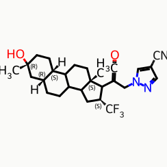 C[C@@]1(O)CC[C@@H]2C3CC[C@@]4(C)C(C[C@H](C(F)(F)F)C4C(=C=O)Cn4cc(C#N)cn4)C3CC[C@@H]2C1